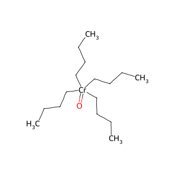 CCC[CH2][Cr](=[O])([CH2]CCC)([CH2]CCC)[CH2]CCC